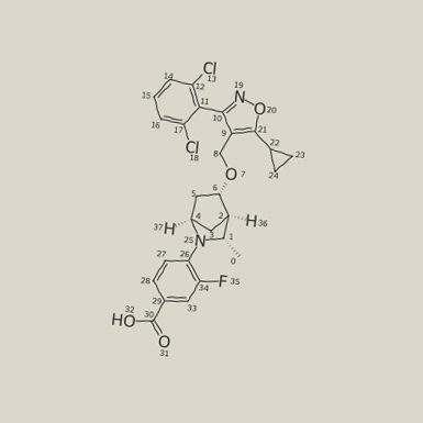 C[C@H]1[C@H]2C[C@H](C[C@@H]2OCc2c(-c3c(Cl)cccc3Cl)noc2C2CC2)N1c1ccc(C(=O)O)cc1F